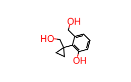 OCc1cccc(O)c1C1(CO)CC1